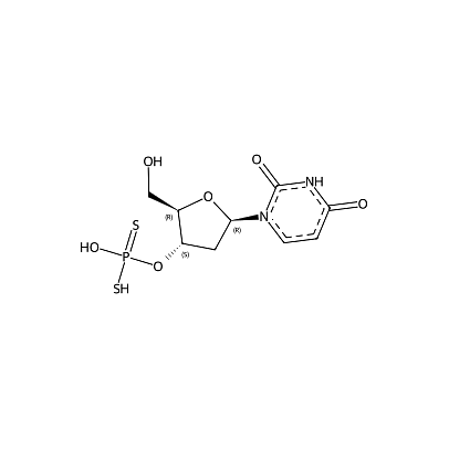 O=c1ccn([C@H]2C[C@H](OP(O)(=S)S)[C@@H](CO)O2)c(=O)[nH]1